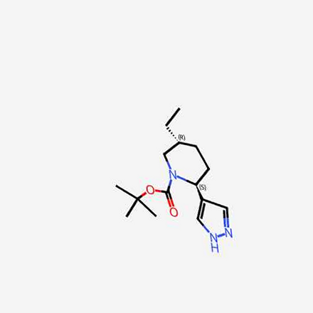 CC[C@@H]1CC[C@@H](c2cn[nH]c2)N(C(=O)OC(C)(C)C)C1